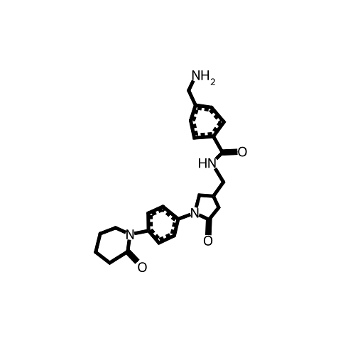 NCc1ccc(C(=O)NCC2CC(=O)N(c3ccc(N4CCCCC4=O)cc3)C2)cc1